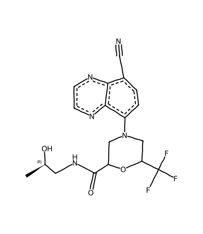 C[C@@H](O)CNC(=O)C1CN(c2ccc(C#N)c3nccnc23)CC(C(F)(F)F)O1